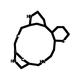 C1CSC2CCNCC3CNN(CCCC4CC(CCN4)C2C1)C3